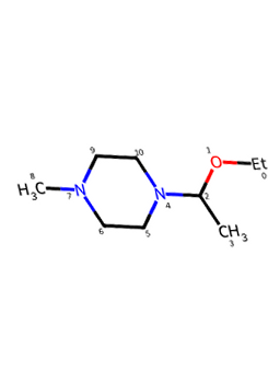 CCOC(C)N1CCN(C)CC1